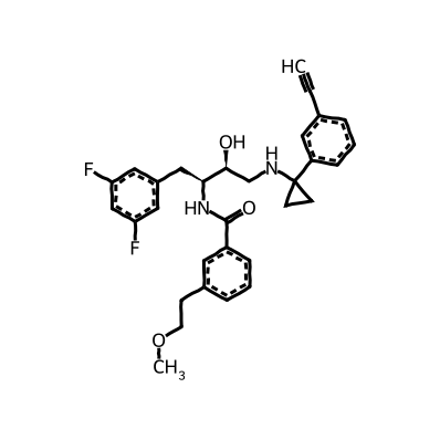 C#Cc1cccc(C2(NC[C@H](O)[C@H](Cc3cc(F)cc(F)c3)NC(=O)c3cccc(CCOC)c3)CC2)c1